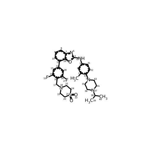 Cc1cc(Nc2nc3cccc(-c4cc(F)c(CN5CCS(=O)(=O)CC5)c(F)c4)c3o2)ccc1N1CCN(C(C)C)CC1